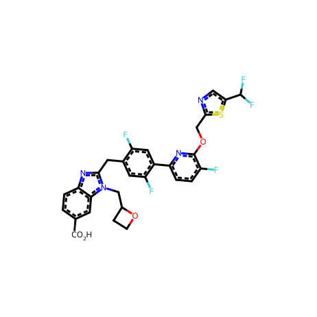 O=C(O)c1ccc2nc(Cc3cc(F)c(-c4ccc(F)c(OCc5ncc(C(F)F)s5)n4)cc3F)n(CC3CCO3)c2c1